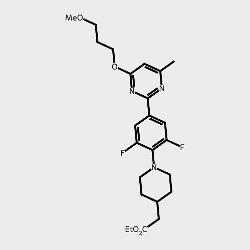 CCOC(=O)CC1CCN(c2c(F)cc(-c3nc(C)cc(OCCCOC)n3)cc2F)CC1